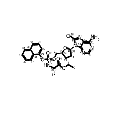 CCOC(=O)[C@H](C)NP(=O)(OC[C@@H]1CC[C@H](n2c(Cl)nc3c(N)ncnc32)O1)Oc1cccc2ccccc12